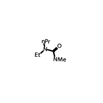 CCCN(CC)C(=O)NC